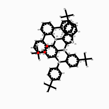 CC(C)(C)c1ccc(N2c3ccc(C(C)(C)C)cc3B3c4oc5ccc(C(C)(C)C)cc5c4N(c4c(-c5ccccc5)cccc4-c4ccccc4)c4cc(C(C)(C)C)cc2c43)cc1